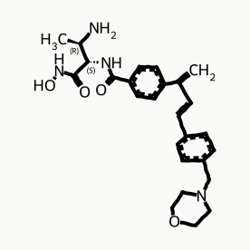 C=C(C=Cc1ccc(CN2CCOCC2)cc1)c1ccc(C(=O)N[C@H](C(=O)NO)[C@@H](C)N)cc1